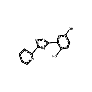 Oc1ccc(O)c(-c2nc(-c3ccccn3)no2)c1